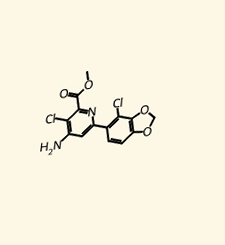 COC(=O)c1nc(-c2ccc3c(c2Cl)OCO3)cc(N)c1Cl